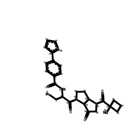 CC(C)CC(NC(=O)c1ccc(-c2cccs2)cc1)C(=O)N1CCC2C1C(=O)CN2C(=O)C1(O)CCC1